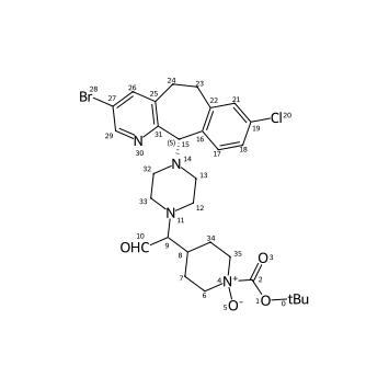 CC(C)(C)OC(=O)[N+]1([O-])CCC(C(C=O)N2CCN([C@H]3c4ccc(Cl)cc4CCc4cc(Br)cnc43)CC2)CC1